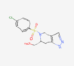 O=S(=O)(c1ccc(Cl)cc1)N1Cc2cn[nH]c2CC1CO